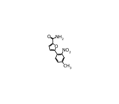 Cc1ccc(-c2ccc(C(N)=O)o2)c([N+](=O)[O-])c1